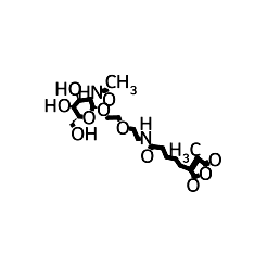 CC(=O)N[C@H]1[C@H](OCCOCCNC(=O)CCCCC2=C(C)C(=O)OC2=O)O[C@H](CO)[C@H](O)[C@@H]1O